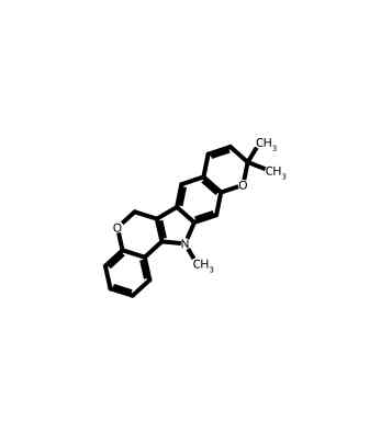 Cn1c2c(c3cc4c(cc31)OC(C)(C)C=C4)COc1ccccc1-2